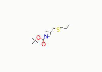 CCCSCC1CN(C(=O)OC(C)(C)C)C1